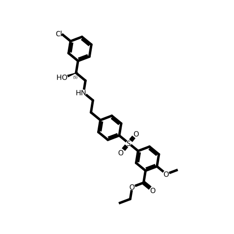 CCOC(=O)c1cc(S(=O)(=O)c2ccc(CCNC[C@@H](O)c3cccc(Cl)c3)cc2)ccc1OC